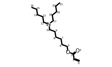 C=CC(=O)OCCCCCCN(CCCCC)CCCCC